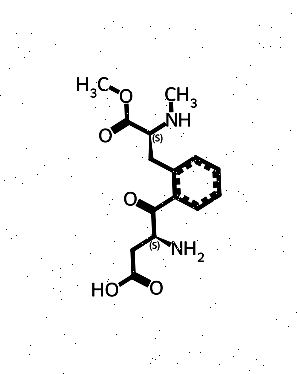 CN[C@@H](Cc1ccccc1C(=O)[C@@H](N)CC(=O)O)C(=O)OC